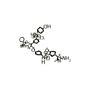 COc1ccc(-c2sc(N)nc2C)cc1S(=O)(=O)Nc1ccc(OCc2nc(NS(=O)(=O)C3CCCCC3)sc2-c2ccc(OC)c(S(=O)(=O)Nc3ccc(O)cc3)c2)cc1